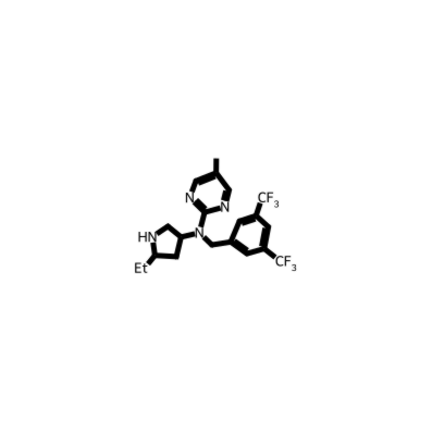 CCC1CC(N(Cc2cc(C(F)(F)F)cc(C(F)(F)F)c2)c2ncc(C)cn2)CN1